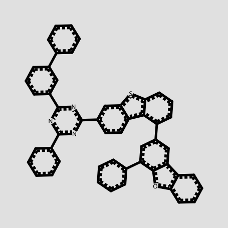 c1ccc(-c2cccc(-c3nc(-c4ccccc4)nc(-c4ccc5c(c4)sc4cccc(-c6cc(-c7ccccc7)c7oc8ccccc8c7c6)c45)n3)c2)cc1